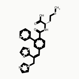 CSCC[C@H](NC(=O)c1ccc(C=C(Cn2ccnc2)c2nccs2)cc1-c1cccnc1)C(=O)O